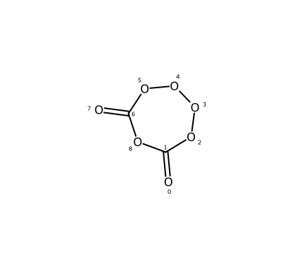 O=c1ooooc(=O)o1